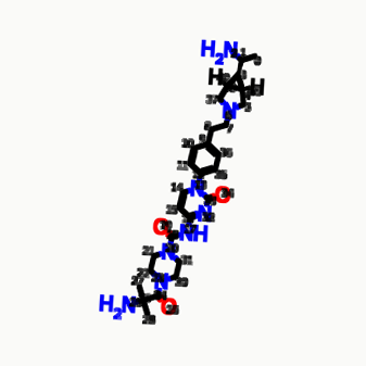 CC(N)[C@H]1[C@@H]2CN(CCc3ccc(-n4ccc(NC(=O)N5CCN(C(=O)C(C)(C)N)CC5)nc4=O)cc3)C[C@@H]21